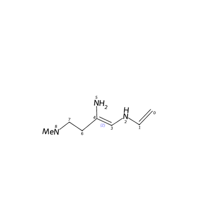 C=CN/C=C(\N)CCNC